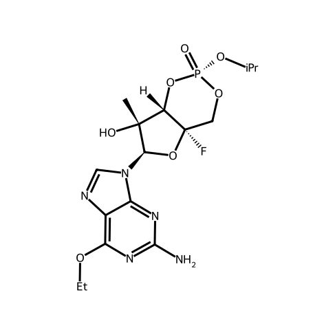 CCOc1nc(N)nc2c1ncn2[C@@H]1O[C@]2(F)CO[P@@](=O)(OC(C)C)O[C@H]2[C@@]1(C)O